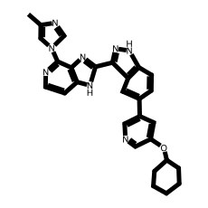 Cc1cn(-c2nccc3[nH]c(-c4n[nH]c5ccc(-c6cncc(OC7CCCCC7)c6)cc45)nc23)cn1